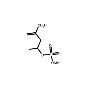 C=C(CC(C)OS(=O)(=O)OC)C(=O)O